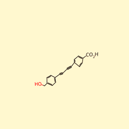 O=C(O)c1ccc(C#CC#Cc2ccc(CO)cc2)cc1